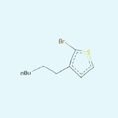 CCCCCCc1ccsc1Br